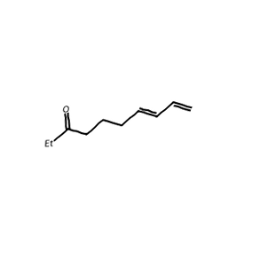 C=CC=CCCCC(=O)CC